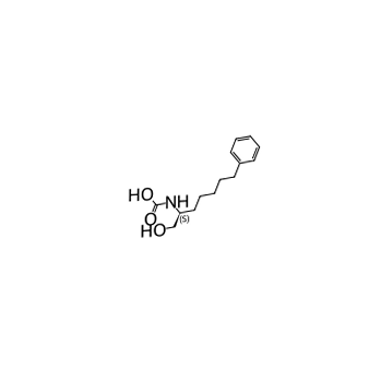 O=C(O)N[C@H](CO)CCCCCc1ccccc1